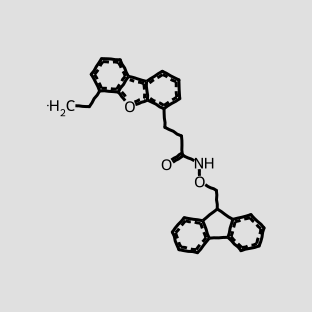 [CH2]Cc1cccc2c1oc1c(CCC(=O)NOCC3c4ccccc4-c4ccccc43)cccc12